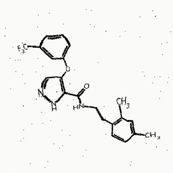 Cc1ccc(CCNC(=O)c2[nH]ncc2Oc2cccc(C(F)(F)F)c2)c(C)c1